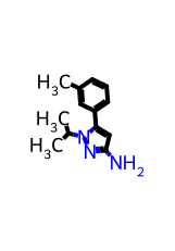 Cc1cccc(-c2cc(N)nn2C(C)C)c1